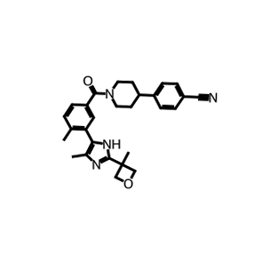 Cc1ccc(C(=O)N2CCC(c3ccc(C#N)cc3)CC2)cc1-c1[nH]c(C2(C)COC2)nc1C